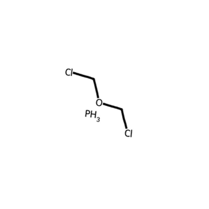 ClCOCCl.P